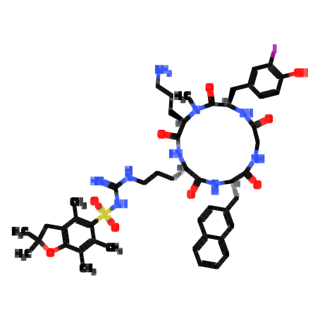 Cc1c(C)c(S(=O)(=O)NC(=N)NCCC[C@@H]2NC(=O)[C@@H](CCCN)N(C)C(=O)[C@@H](Cc3ccc(O)c(I)c3)NC(=O)CNC(=O)[C@H](Cc3ccc4ccccc4c3)NC2=O)c(C)c2c1OC(C)(C)C2